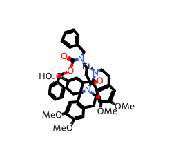 CCN1CCc2cc(OC)c(OC)cc2C1C1CC(C(=O)O)CCC12c1cc(OC)c(OC)cc1CCN2C(=O)CCN(Cc1ccccc1)C(=O)OCc1ccccc1